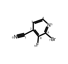 N#Cc1ccnc(Br)c1F